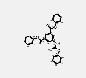 O=C(Nc1cc(C(=O)Oc2ccccc2)cc(C(=O)Oc2ccccc2)c1)Oc1ccccc1